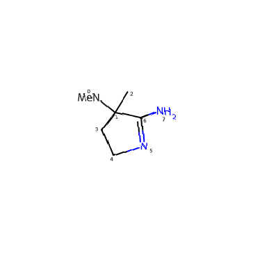 CNC1(C)CCN=C1N